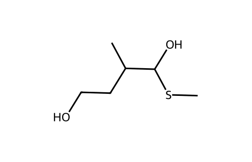 CSC(O)C(C)CCO